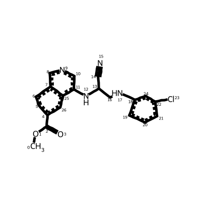 COC(=O)c1ccc2cncc(NC(C#N)CNc3cccc(Cl)c3)c2c1